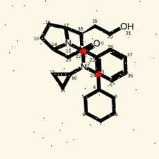 O=C(N(CC1CCCCC1)C1CC1)N1C2CCC1[C@@H](CCO)N(c1ccccc1)C2